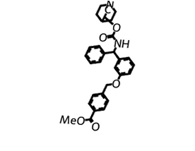 COC(=O)c1ccc(COc2cccc(C(NC(=O)OC3CN4CCC3CC4)c3ccccc3)c2)cc1